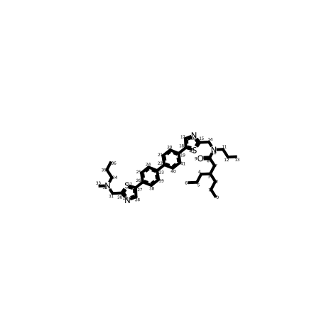 CCCC(CCC)CC(=O)N(CCC)Cc1ncc(-c2ccc(-c3ccc(-c4cnc(CN(C)CCC)s4)cc3)cc2)s1